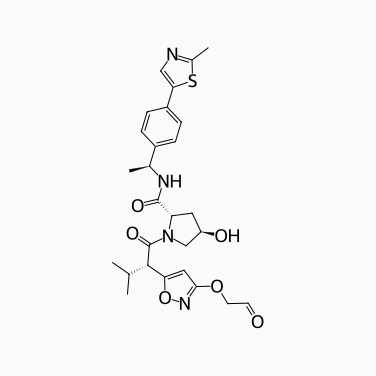 Cc1ncc(-c2ccc([C@H](C)NC(=O)[C@@H]3C[C@@H](O)CN3C(=O)[C@H](c3cc(OCC=O)no3)C(C)C)cc2)s1